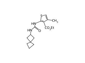 CCOC(=O)c1c(C)csc1NC(=O)NC1CC2(CCC2)C1